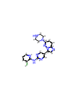 Fc1cccnc1Nc1ncc(-c2cnc3ccc(N4CCNCC4)nn23)cn1